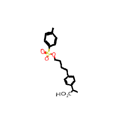 Cc1ccc(S(=O)(=O)OCCCCc2ccc(C(C)C(=O)O)cc2)cc1